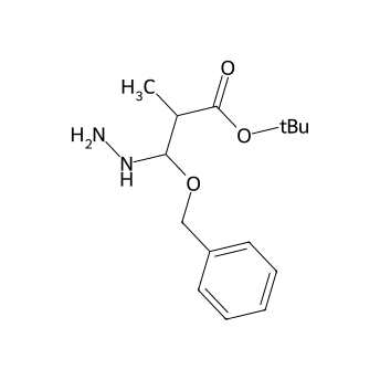 CC(C(=O)OC(C)(C)C)C(NN)OCc1ccccc1